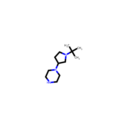 CC(C)(C)N1CCC(N2CCNCC2)C1